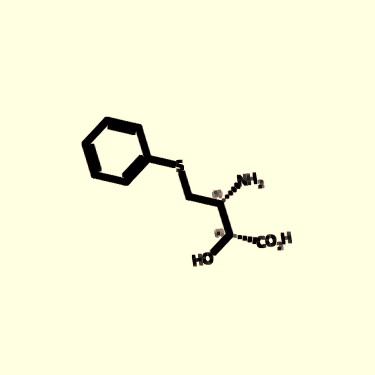 N[C@@H](CSc1ccccc1)[C@@H](O)C(=O)O